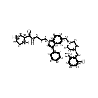 O=C(NCCCn1cc(-c2ccccc2)c2cc(CN3CCN(Cc4c(Cl)cccc4Cl)CC3)ccc21)C1CNCCN1